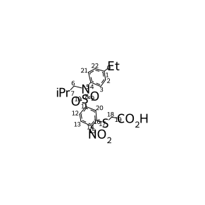 CCc1ccc(N(CC(C)C)S(=O)(=O)c2ccc([N+](=O)[O-])c(SCC(=O)O)c2)cc1